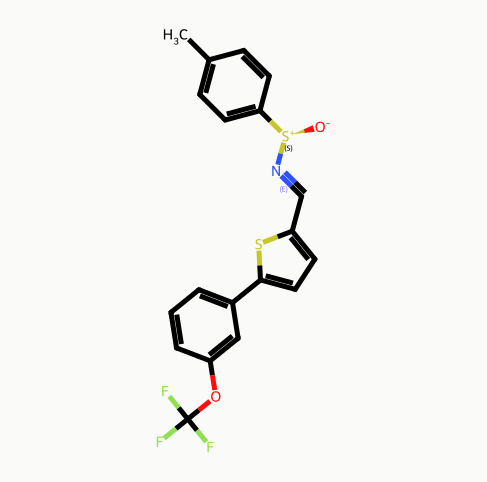 Cc1ccc([S@@+]([O-])/N=C/c2ccc(-c3cccc(OC(F)(F)F)c3)s2)cc1